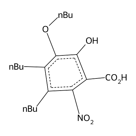 CCCCOc1c(O)c(C(=O)O)c([N+](=O)[O-])c(CCCC)c1CCCC